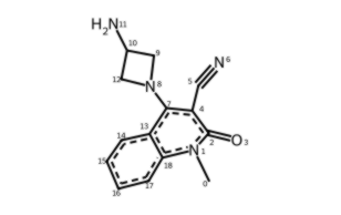 Cn1c(=O)c(C#N)c(N2CC(N)C2)c2ccccc21